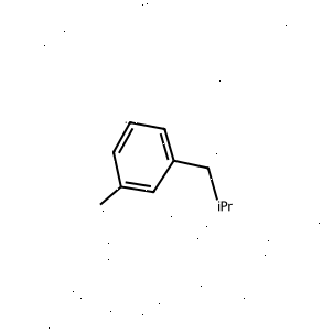 Cc1c[c]cc(CC(C)C)c1